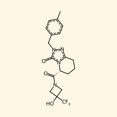 Cc1ccc(Cn2nc3n(c2=O)[C@@H](C(=O)N2CC(O)(C(F)(F)F)C2)CCC3)cc1